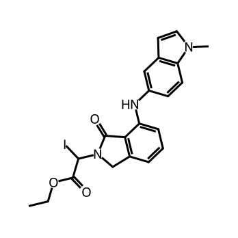 CCOC(=O)C(I)N1Cc2cccc(Nc3ccc4c(ccn4C)c3)c2C1=O